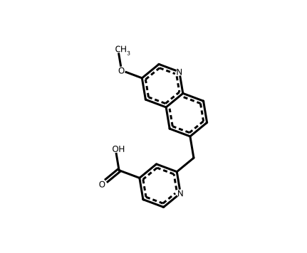 COc1cnc2ccc(Cc3cc(C(=O)O)ccn3)cc2c1